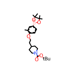 Cc1cc(B2OC(C)(C)C(C)(C)O2)ccc1OCCC1CCN(C(=O)OC(C)(C)C)CC1